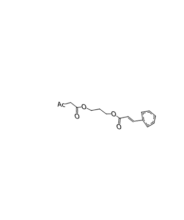 CC(=O)CC(=O)OCCCOC(=O)/C=C/c1ccccc1